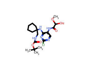 COC(O)C(=O)Nc1cnc(Cl)nc1NC1(CNC(=O)OC(C)(C)C)CCCCC1